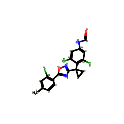 Cc1ccc(-c2nc(C3(c4c(Cl)cc(NC=O)cc4Cl)CC3)no2)c(F)c1